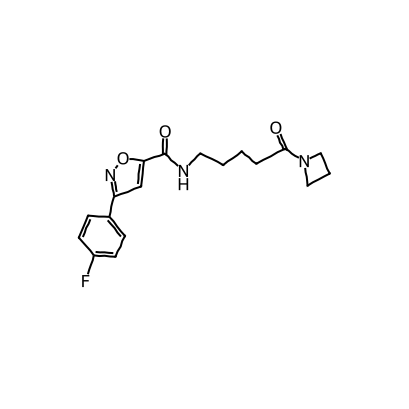 O=C(NCCCCC(=O)N1CCC1)c1cc(-c2ccc(F)cc2)no1